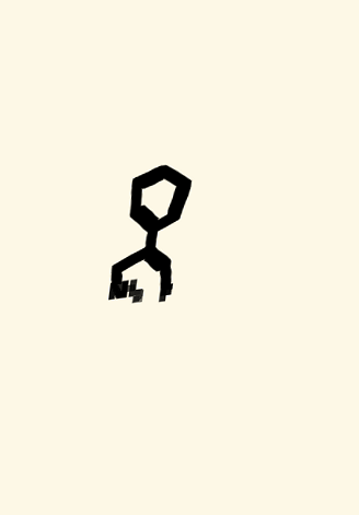 NC/C(=C\F)c1ccccc1